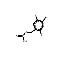 O=[PH](O)OCc1cc(F)c(Br)cc1F